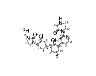 [2H]Cn1ccn(-c2ccc(-c3cc(F)cc(-c4ccnc(N5CCNCC5=O)c4)c3O)cc2Cl)c1=O